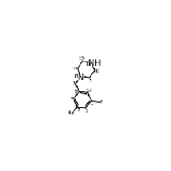 Cc1cc(C)cc(CN2CCNCC2)c1